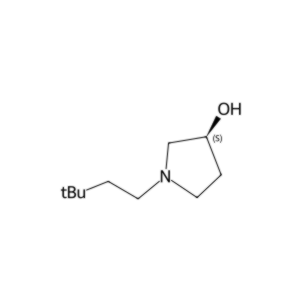 CC(C)(C)CCN1CC[C@H](O)C1